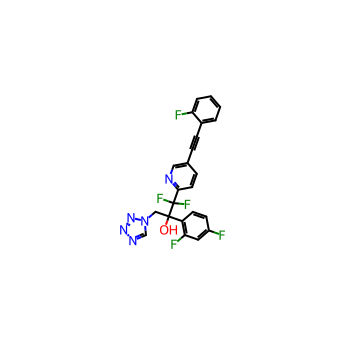 OC(Cn1cnnn1)(c1ccc(F)cc1F)C(F)(F)c1ccc(C#Cc2ccccc2F)cn1